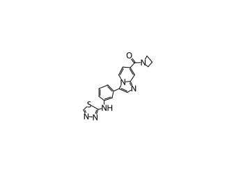 O=C(c1ccn2c(-c3cccc(Nc4nncs4)c3)cnc2c1)N1CCC1